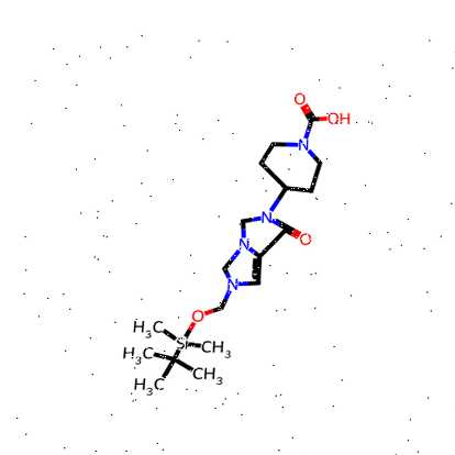 CC(C)(C)[Si](C)(C)OCN1C=C2C(=O)N(C3CCN(C(=O)O)CC3)CN2C1